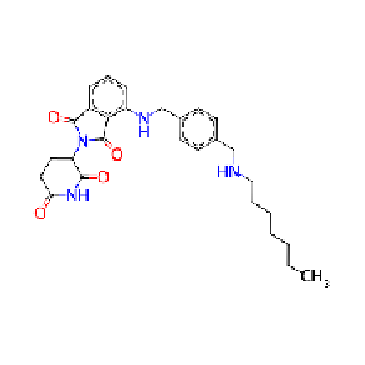 CCCCCCCNCc1ccc(CNc2cccc3c2C(=O)N(C2CCC(=O)NC2=O)C3=O)cc1